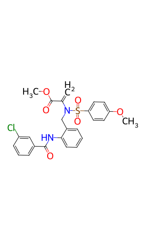 C=C(C(=O)OC)N(Cc1ccccc1NC(=O)c1cccc(Cl)c1)S(=O)(=O)c1ccc(OC)cc1